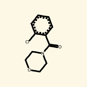 O=C(c1ccc[c]c1Cl)N1CCOCC1